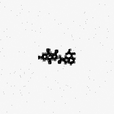 CC(C)C(C)c1cccc2c1CN(C(=O)C[C@@H]1C[C@@H](C(=O)N3CC(F)C[C@H]3C=O)NC1=O)C2